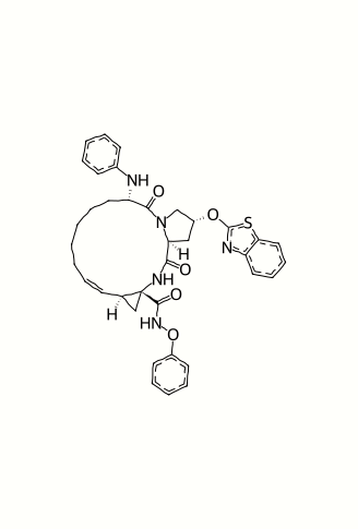 O=C1N[C@]2(C(=O)NOc3ccccc3)C[C@H]2/C=C\CCCCC[C@H](Nc2ccccc2)C(=O)N2C[C@H](Oc3nc4ccccc4s3)C[C@@H]12